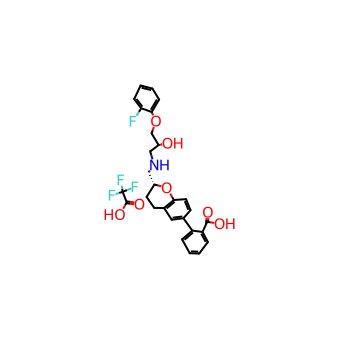 O=C(O)C(F)(F)F.O=C(O)c1ccccc1-c1ccc2c(c1)CC[C@H](CNC[C@H](O)COc1ccccc1F)O2